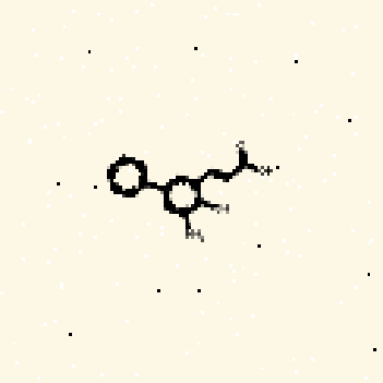 Nc1cc(-c2ccccc2)cc(C=CC(=O)O)c1S